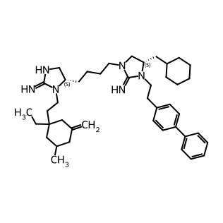 C=C1CC(C)CC(CC)(CCN2C(=N)NC[C@@H]2CCCCN2C[C@H](CC3CCCCC3)N(CCc3ccc(-c4ccccc4)cc3)C2=N)C1